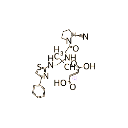 CC(C)(CNc1nc(-c2ccccc2)cs1)NCC(=O)N1CCC[C@H]1C#N.O=C(O)/C=C/C(=O)O